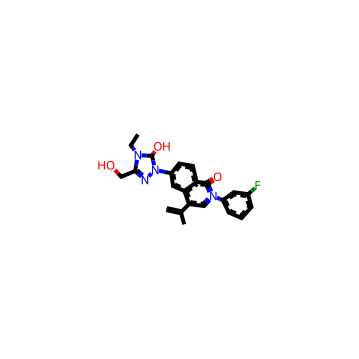 C=C(C)c1cn(-c2cccc(F)c2)c(=O)c2ccc(N3N=C(CO)N(CC)C3O)cc12